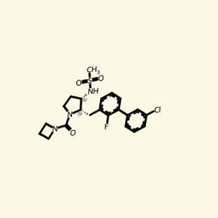 CS(=O)(=O)N[C@H]1CCN(C(=O)N2CCC2)[C@H]1Cc1cccc(-c2cccc(Cl)c2)c1F